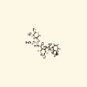 O=C(N[C@@H](Cc1ccc(F)c(Br)c1)C(=O)O)c1ccc(I)cc1NS(=O)(=O)c1cccc2nsnc12